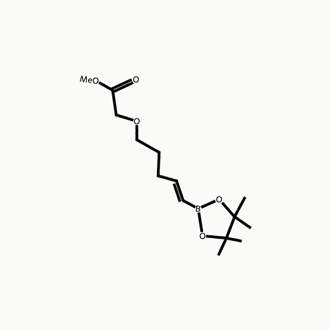 COC(=O)COCCC/C=C/B1OC(C)(C)C(C)(C)O1